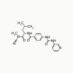 CC(C)CC(NC(=O)c1ccc(NC(=O)Nc2cccnc2)cc1)C(=O)N(C)C#N